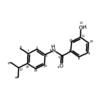 Cc1cc(NC(=O)c2cccc(O)c2)ccc1C(C)C